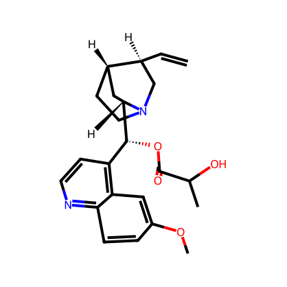 C=C[C@H]1CN2CC[C@H]1C[C@H]2[C@H](OC(=O)C(C)O)c1ccnc2ccc(OC)cc12